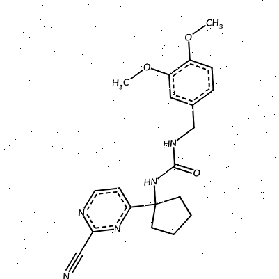 COc1ccc(CNC(=O)NC2(c3ccnc(C#N)n3)CCCC2)cc1OC